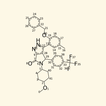 COC1CCC(N2C(=O)c3n[nH]c(-c4cc(C)ccc4OCc4ccccc4)c3C2c2ccc(C(F)(F)F)cc2)CC1